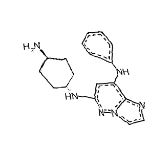 N[C@H]1CC[C@H](Nc2cc(Nc3ccccc3)c3nccn3n2)CC1